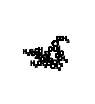 C=C[C@H]1C[C@]1(NC(=O)C1C[C@@H](Oc2cc(C(=O)OC)nc3cc(OC)ccc23)CN1C(=O)OC(C)(C)C)C(=O)OC